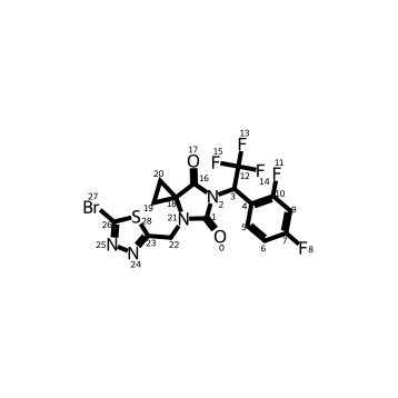 O=C1N(C(c2ccc(F)cc2F)C(F)(F)F)C(=O)C2(CC2)N1Cc1nnc(Br)s1